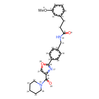 COc1cccc(CCC(=O)NCc2ccc(-c3nc(C(=O)N4CCCCC4)co3)cc2)c1